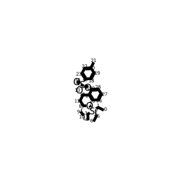 CC[Si](CC)(CC)O[C@H](CI)CC(OS(=O)(=O)c1ccc(C)cc1)c1ccccc1